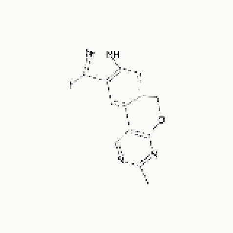 Cc1ncc2c(n1)OCc1cc3[nH]nc(I)c3cc1-2